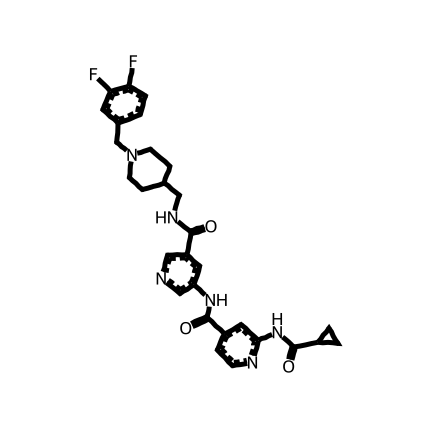 O=C(NCC1CCN(Cc2ccc(F)c(F)c2)CC1)c1cncc(NC(=O)c2ccnc(NC(=O)C3CC3)c2)c1